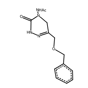 CC(=O)NN1CC(COCc2ccccc2)=NNC1=O